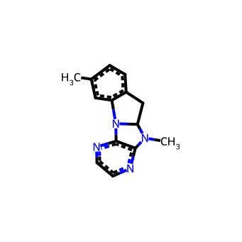 Cc1ccc2c(c1)N1c3nccnc3N(C)C1C2